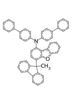 CC1(c2ccc(N(c3ccc(-c4ccccc4)cc3)c3ccc(-c4ccccc4)cc3)c3c2oc2ccccc23)c2ccccc2-c2ccccc21